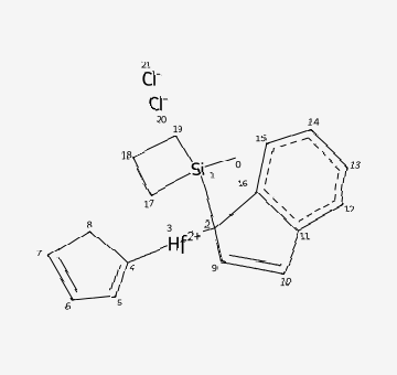 C[Si]1([C]2([Hf+2][C]3=CC=CC3)C=Cc3ccccc32)CCC1.[Cl-].[Cl-]